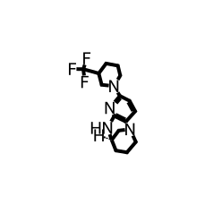 FC(F)(F)C1CCCN(c2ccc3c(n2)N[C@@H]2CCCN3C2)C1